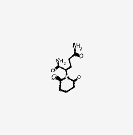 NC(=O)CCC(C(N)=O)N1C(=O)CCCC1=O